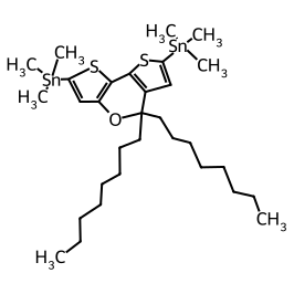 CCCCCCCCC1(CCCCCCCC)Oc2c[c]([Sn]([CH3])([CH3])[CH3])sc2-c2s[c]([Sn]([CH3])([CH3])[CH3])cc21